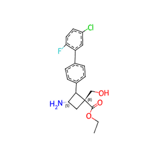 CCOC(=O)[C@]1(CO)C[C@H](N)C1c1ccc(-c2cc(Cl)ccc2F)cc1